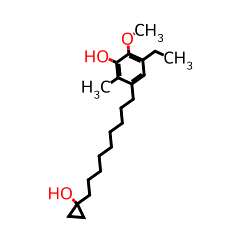 CCc1cc(CCCCCCCCCC2(O)CC2)c(C)c(O)c1OC